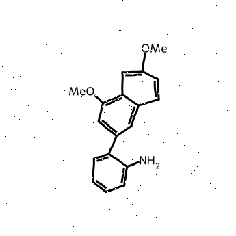 COc1ccc2cc(-c3ccccc3N)cc(OC)c2c1